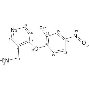 NCc1cnccc1Oc1ccc(N=O)cc1F